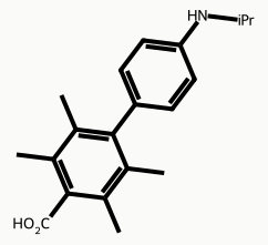 Cc1c(C)c(-c2ccc(NC(C)C)cc2)c(C)c(C)c1C(=O)O